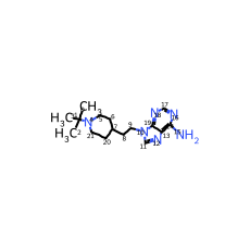 CC(C)(C)N1CCC(CCn2cnc3c(N)ncnc32)CC1